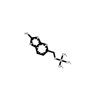 C[Si](C)(C)OCc1ccc2nc(S)sc2n1